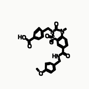 COc1ccc(CNC(=O)c2ccc3c(c2)S(=O)(=O)N(Cc2ccc(C(=O)O)cc2)C(=O)N3C)cc1